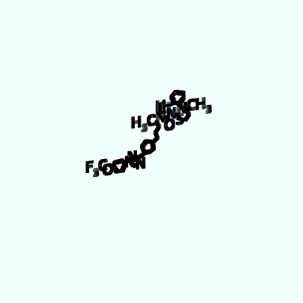 CCc1ccccc1N1/C(=N/C(=O)NC(C)CCCc2ccc(-c3ncn(-c4ccc(OC(F)(F)F)cc4)n3)cc2)SCCC1C